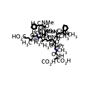 CN[C@H](C(=O)N[C@H](C(=O)N(C)[C@H](/C=C(\C)C(=O)N[C@H](C)CCC(=O)O)C(C)CCC(C)(C)[C@H](NC(=O)[C@@H](NC)C(C)(C)c1cn(C)c2ccccc12)C(=O)N(C)[C@H](/C=C(\C)C(=O)N[C@H](CC(=O)O)C(=O)O)C(C)C)C(C)(C)C)C(C)(C)c1ccccc1